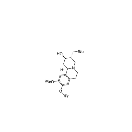 COc1cc2c(cc1OC(C)C)CCN1C[C@@H](CC(C)(C)C)[C@H](O)C[C@H]21